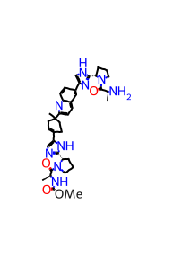 COC(=O)N[C@@H](C)C(=O)N1CCC[C@H]1c1ncc(C2=CCC(C)(c3ccc4cc(-c5c[nH]c([C@@H]6CCCN6C(=O)[C@H](C)N)n5)ccc4n3)CC2)[nH]1